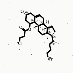 CC(C)CCC[C@@H](C)[C@H]1CC[C@H]2[C@@H]3CC=C4C[C@@H](O)CC(OC(=O)CCCl)[C@]4(C)[C@H]3CC[C@]12C